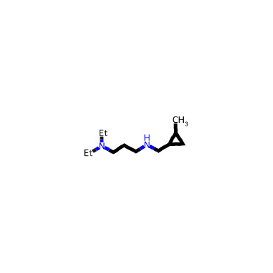 CCN(CC)CCCNCC1CC1C